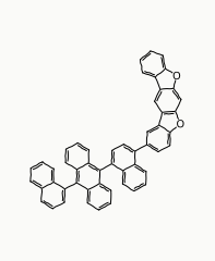 c1ccc2c(-c3c4ccccc4c(-c4ccc(-c5ccc6oc7cc8oc9ccccc9c8cc7c6c5)c5ccccc45)c4ccccc34)cccc2c1